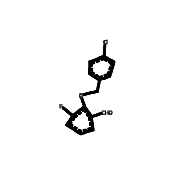 O=Cc1cccc(F)c1OCc1ccc(Cl)cc1